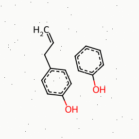 C=CCc1ccc(O)cc1.Oc1ccccc1